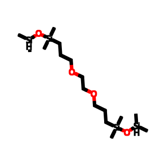 C[SiH](C)O[Si](C)(C)CCCOCCOCCC[Si](C)(C)O[SiH](C)C